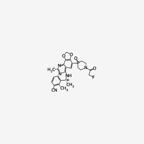 Cc1nc(N[C@H](C)c2cccc(C#N)c2C)c2cc(P3(=O)CCN(C(=O)CF)CC3)c3c(c2n1)OCO3